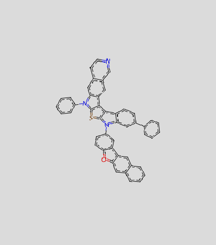 c1ccc(-c2ccc3c4c5c6cc7cnccc7cc6n(-c6ccccc6)c5sc4n(-c4ccc5oc6cc7ccccc7cc6c5c4)c3c2)cc1